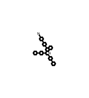 N#Cc1ccc(-c2ccc(-c3cc4c(-c5ccc(-c6ccccc6)cc5)cc(-c5ccc(-c6ccccc6)cc5)nc4c4ccccc34)cc2)cc1